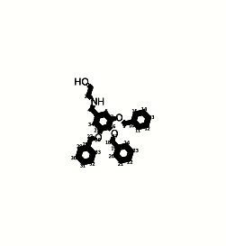 OCCNCc1cc(OCc2ccccc2)c(OCc2ccccc2)c(OCc2ccccc2)c1